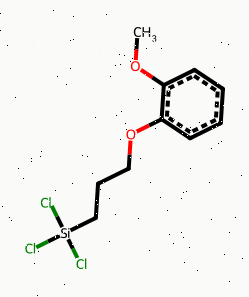 COc1ccccc1OCCC[Si](Cl)(Cl)Cl